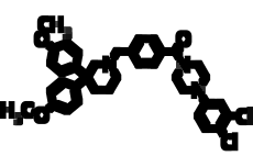 COc1ccc(C2(c3ccc(OC)cc3)CCCN(Cc3ccc(C(=O)N4CCN(c5ccc(Cl)c(Cl)c5)CC4)cc3)C2)cc1